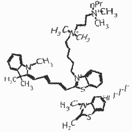 C=C1Sc2ccccc2N1C.CCC[N+](C)(C)CCC[N+](C)(C)CCCCC[n+]1c(C=CC=CC=C2N(C)c3ccccc3C2(C)C)sc2ccccc21.I.[I-].[I-].[I-]